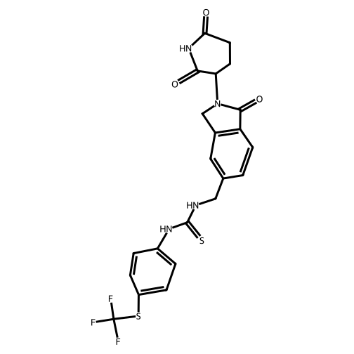 O=C1CCC(N2Cc3cc(CNC(=S)Nc4ccc(SC(F)(F)F)cc4)ccc3C2=O)C(=O)N1